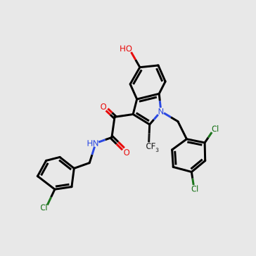 O=C(NCc1cccc(Cl)c1)C(=O)c1c(C(F)(F)F)n(Cc2ccc(Cl)cc2Cl)c2ccc(O)cc12